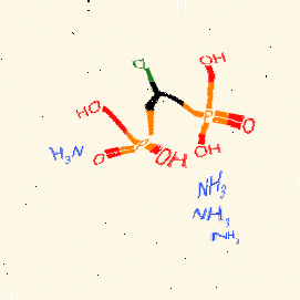 N.N.N.N.O=P(O)(O)C(Cl)P(=O)(O)O